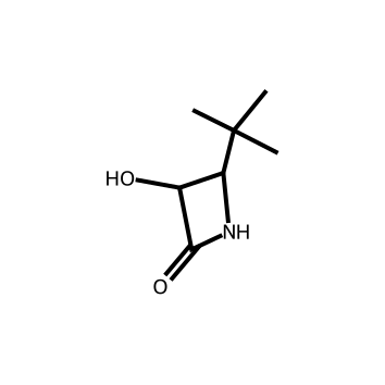 CC(C)(C)C1NC(=O)C1O